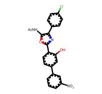 CC(=O)Nc1oc(-c2ccc(-c3cccc([N+](=O)[O-])c3)cc2O)nc1-c1ccc(Cl)cc1